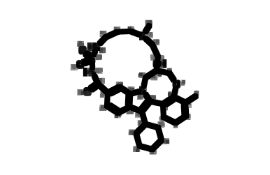 CC1=CCCC2=C1OC[C@]1(O)CCN(C)CCCNS(=O)(=O)NC(=O)c3ccc4c(C5CCCCC5)c2n(c4c3)C1